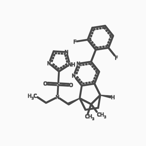 CCN(C[C@@]12CC[C@@H](c3cc(-c4c(F)cccc4F)nnc31)C2(C)C)S(=O)(=O)c1ncn[nH]1